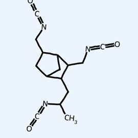 CC(CC1C2CC(CN=C=O)C(C2)C1CN=C=O)N=C=O